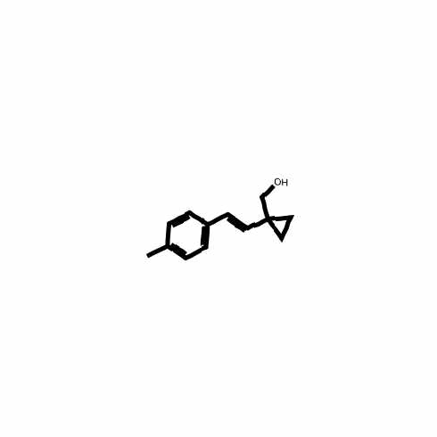 Cc1ccc(C=CC2(CO)CC2)cc1